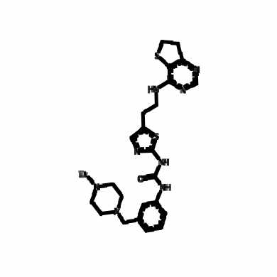 CCN1CCN(Cc2cccc(NC(=O)Nc3ncc(CCNc4ncnc5c4SCC5)s3)c2)CC1